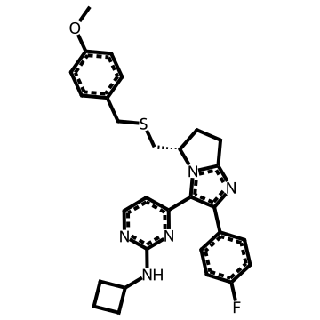 COc1ccc(CSC[C@@H]2CCc3nc(-c4ccc(F)cc4)c(-c4ccnc(NC5CCC5)n4)n32)cc1